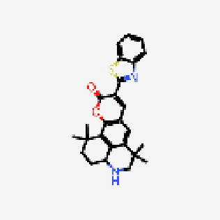 CC1(C)CNC2CCC(C)(C)c3c2c1cc1cc(-c2nc4ccccc4s2)c(=O)oc31